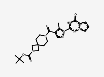 Cc1c(C(=O)N2CCC3(CC2)CN(C(=O)OC(C)(C)C)C3)cnn1-c1nn2cccc2c(=O)[nH]1